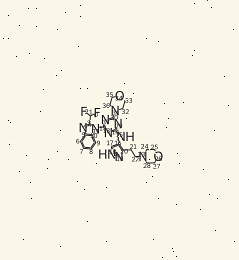 FC(F)c1nc2ccccc2n1-c1nc(Nc2c[nH]nc2CCN2CCOCC2)nc(N2CCOCC2)n1